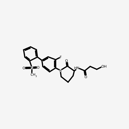 CS(=O)(=O)c1ccccc1-c1ccc(N2CCCC(NC(=O)CCO)C2=O)c(F)c1